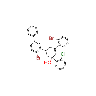 OC1(c2ccccc2Cl)C=C(c2ccccc2Br)CC(c2cc(-c3ccccc3)ccc2Br)C1